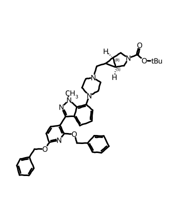 Cn1nc(-c2ccc(OCc3ccccc3)nc2OCc2ccccc2)c2cccc(N3CCN(CC4[C@H]5CN(C(=O)OC(C)(C)C)C[C@@H]45)CC3)c21